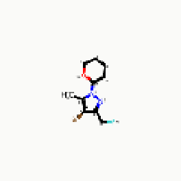 Cc1c(Br)c(CF)nn1C1CCCCO1